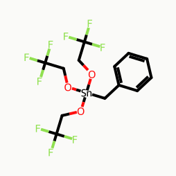 FC(F)(F)C[O][Sn]([CH2]c1ccccc1)([O]CC(F)(F)F)[O]CC(F)(F)F